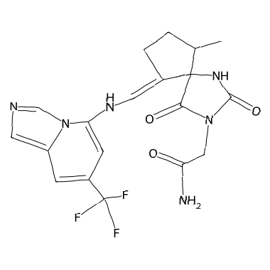 CC1CC/C(=C\Nc2cc(C(F)(F)F)cc3cncn23)C12NC(=O)N(CC(N)=O)C2=O